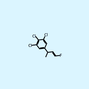 CC(C=CF)c1cc(Cl)c(Cl)c(Cl)c1